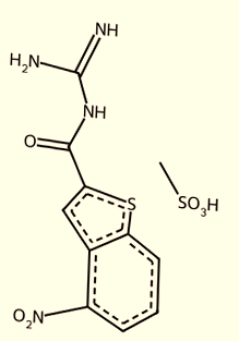 CS(=O)(=O)O.N=C(N)NC(=O)c1cc2c([N+](=O)[O-])cccc2s1